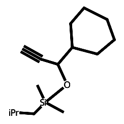 C#CC(O[Si](C)(C)CC(C)C)C1CCCCC1